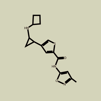 Cc1cc(NC(=O)c2cc(C3CC3NC3CCC3)cs2)on1